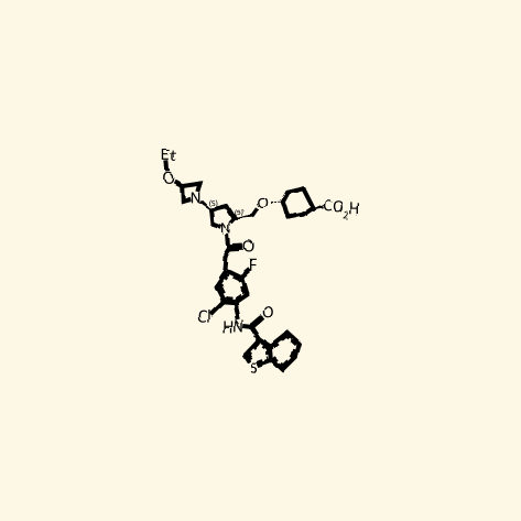 CCOC1CN([C@H]2C[C@@H](CO[C@H]3CC[C@H](C(=O)O)CC3)N(C(=O)Cc3cc(Cl)c(NC(=O)c4csc5ccccc45)cc3F)C2)C1